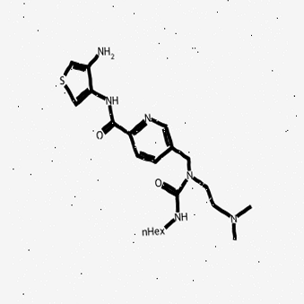 CCCCCCNC(=O)N(CCN(C)C)Cc1ccc(C(=O)Nc2cscc2N)nc1